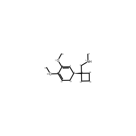 CNCC1([C@@H]2C=C(OC)C(OC)=CC2)CCC1